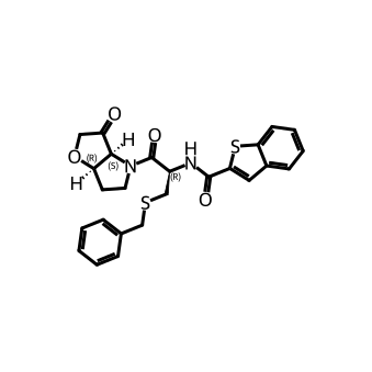 O=C(N[C@@H](CSCc1ccccc1)C(=O)N1CC[C@H]2OCC(=O)[C@H]21)c1cc2ccccc2s1